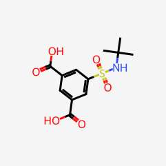 CC(C)(C)NS(=O)(=O)c1cc(C(=O)O)cc(C(=O)O)c1